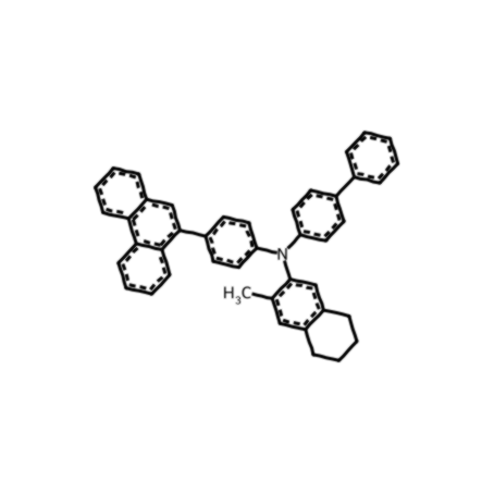 Cc1cc2c(cc1N(c1ccc(-c3ccccc3)cc1)c1ccc(-c3cc4ccccc4c4ccccc34)cc1)CCCC2